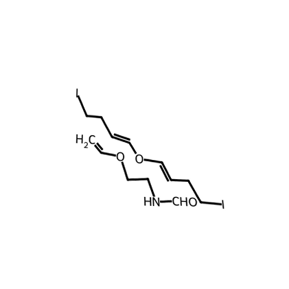 C=COCCNC=O.ICCC=COC=CCCI